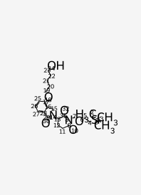 C[Si](C)(C)CCOCN1C(=O)CCC(N2Cc3c(OCCCCCO)cccc3C2=O)C1=O